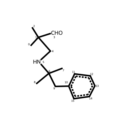 CC(C)(C=O)CNC(C)(C)Cc1ccccc1